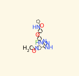 C=CC(=O)N1CCC(c2c[nH]c3ncnc(Nc4ccc(Oc5cccc(NC(=O)C6CCCC6)c5)cc4F)c23)CC1